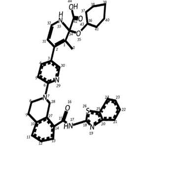 CC1=C(c2ccc(N3CCc4cccc(C(=O)Nc5nc6ccccc6s5)c4C3)nc2)C=CNC1(OC1CCCCC1)C(=O)O